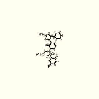 COCN(c1cccc(-c2nn(C(C)C)cc2-c2ccncc2)c1F)S(=O)(=O)c1cc(F)ccc1F